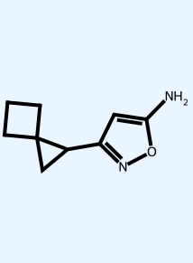 Nc1cc(C2CC23CCC3)no1